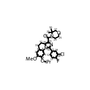 COc1cc2c(cc1OC(C)C)-n1c(-c3ccc(F)c(Cl)c3)nc(C(=O)N3CCOCC3(C)C)c1CC2